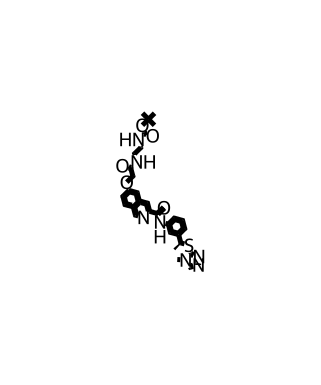 C[C@H](Sc1nncn1C)c1cccc(NC(=O)c2cc3cc(OCC(=O)NCCNC(=O)OC(C)(C)C)ccc3cn2)c1